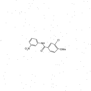 COc1ccc(C(=O)Nc2cccc([N+](=O)[O-])c2)cc1Cl